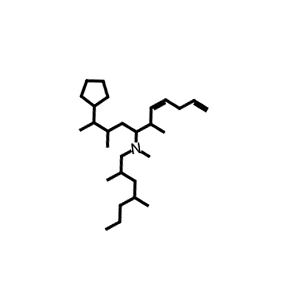 C=CC/C=C\C(C)C(CC(C)C(C)C1CCCC1)N(C)CC(C)CC(C)CCC